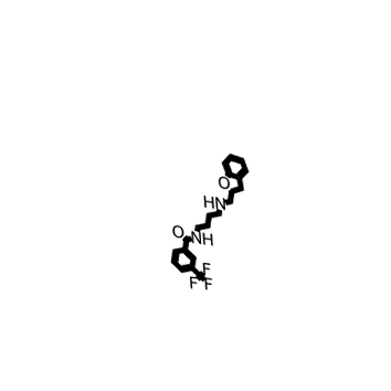 O=C(NCCCCNCC1Cc2ccccc2O1)c1cccc(C(F)(F)F)c1